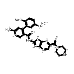 COc1ccc(C#N)cc1-c1cc(C)ncc1C(=O)Nc1nc2ncc(C(=O)N3CCNCC3)nc2s1.Cl